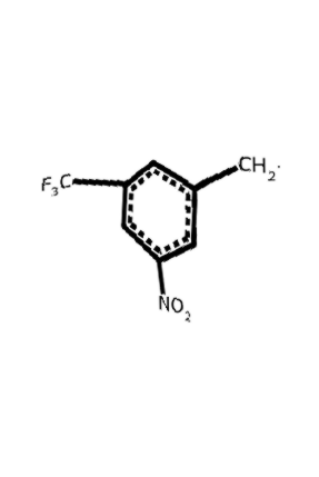 [CH2]c1cc([N+](=O)[O-])cc(C(F)(F)F)c1